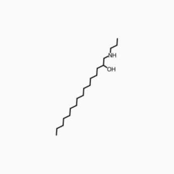 CCCCCCCCCCCCCCC(O)CNCCC